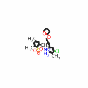 Cc1c[n+](N)c(C#CCOC2CCCCO2)cc1Cl.Cc1cc(C)c(S(=O)(=O)[O-])c(C)c1